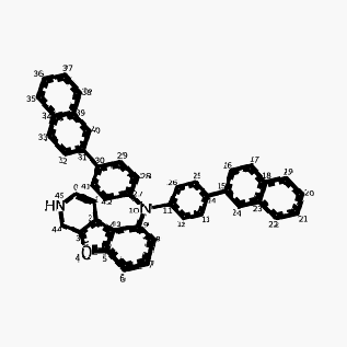 C1=Cc2c(oc3cccc(N(c4ccc(-c5ccc6ccccc6c5)cc4)c4ccc(-c5ccc6ccccc6c5)cc4)c23)CN1